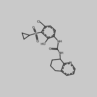 O=C(Nc1ccc(Cl)c(S(=O)(=O)C2CC2)c1O)NC1CCCc2cccnc21